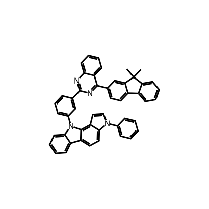 CC1(C)c2ccccc2-c2ccc(-c3nc(-c4cccc(-n5c6ccccc6c6ccc7c(ccn7-c7ccccc7)c65)c4)nc4ccccc34)cc21